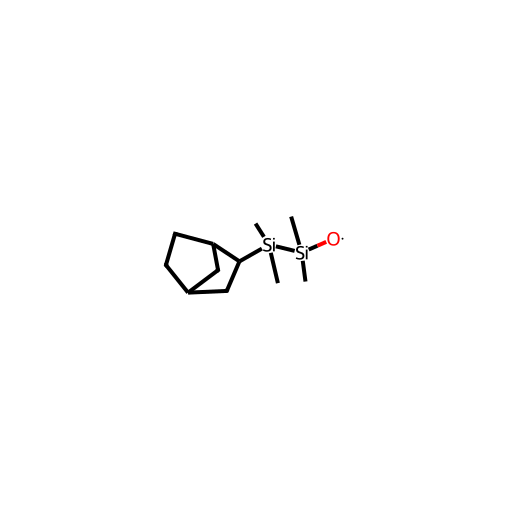 C[Si](C)([O])[Si](C)(C)C1CC2CCC1C2